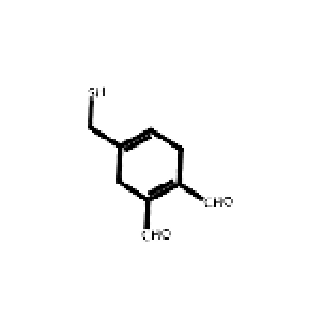 O=CC1=C(C=O)CC(CS)=CC1